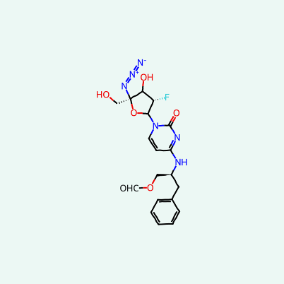 [N-]=[N+]=N[C@]1(CO)OC(n2ccc(N[C@H](COC=O)Cc3ccccc3)nc2=O)[C@@H](F)C1O